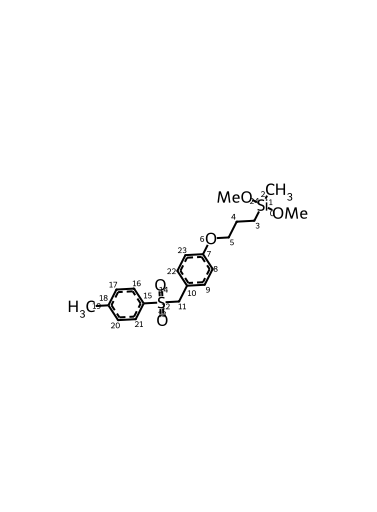 CO[Si](C)(CCCOc1ccc(CS(=O)(=O)c2ccc(C)cc2)cc1)OC